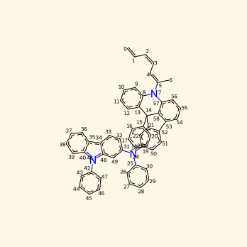 C=C/C=C\C=C(/C)N1c2ccccc2C2(c3ccccc3)c3cc(N(c4ccccc4)c4ccc5c6ccccc6n(-c6ccccc6)c5c4)ccc3-c3cccc1c32